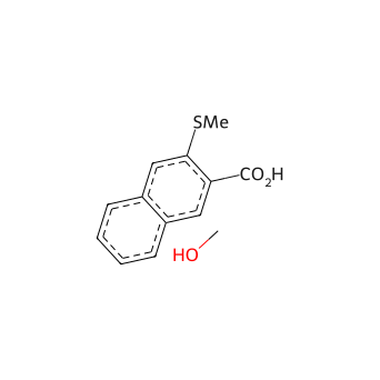 CO.CSc1cc2ccccc2cc1C(=O)O